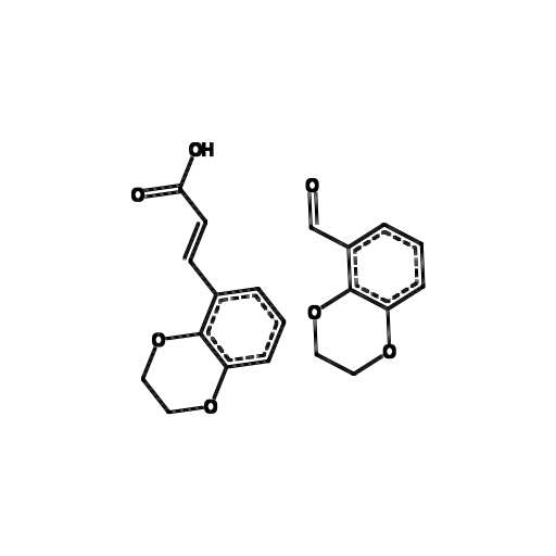 O=C(O)C=Cc1cccc2c1OCCO2.O=Cc1cccc2c1OCCO2